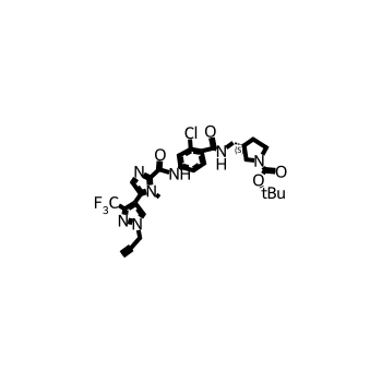 C#CCn1cc(-c2cnc(C(=O)Nc3ccc(C(=O)NC[C@@H]4CCN(C(=O)OC(C)(C)C)C4)c(Cl)c3)n2C)c(C(F)(F)F)n1